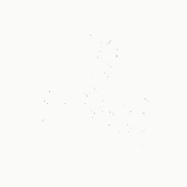 C=CC(=O)N1CCN(c2nc(OCC3CCCN3C)nc3c2CCN(c2cccc(F)c2Cl)C3)CC1CC#N